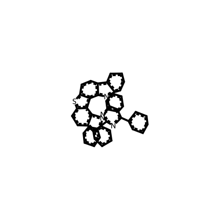 c1ccc(-c2cc(-n3c4ccccc4c4ccc5sc6ccc7c8ccccc8n(-c8ccccc8)c7c6c5c43)nc(-c3ccccc3)n2)cc1